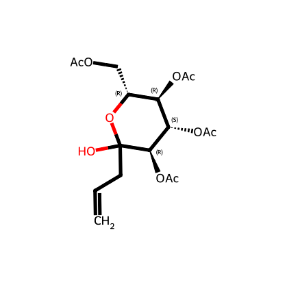 C=CCC1(O)O[C@H](COC(C)=O)[C@@H](OC(C)=O)[C@H](OC(C)=O)[C@H]1OC(C)=O